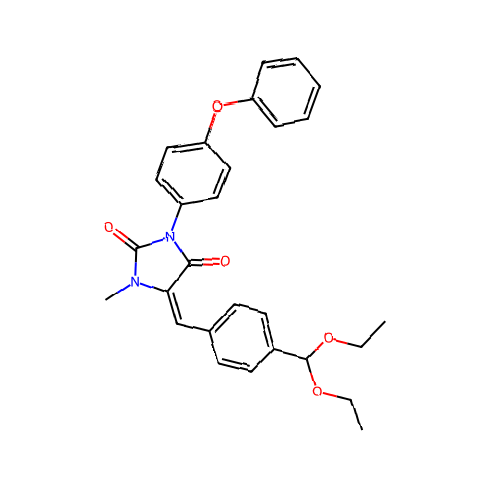 CCOC(OCC)c1ccc(/C=C2\C(=O)N(c3ccc(Oc4ccccc4)cc3)C(=O)N2C)cc1